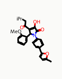 COc1ccccc1C1C(C(=O)CC(C)C)=C(O)C(=O)N1c1ccc(-c2ccc(C)o2)cc1